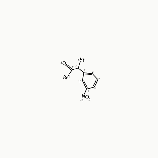 CCC(C(=O)Br)c1cccc([N+](=O)[O-])c1